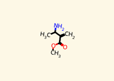 C=C(C(=O)OC)C(C)N